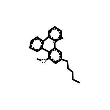 CCCCCc1cc(OC)c(-c2ccccc2-c2ccccc2)c(OC)c1